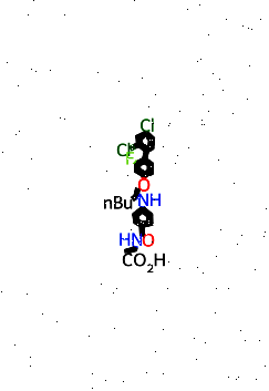 CCCCC(COc1ccc(-c2ccc(Cl)cc2Cl)c(F)c1)Nc1ccc(C(=O)NCCC(=O)O)cc1